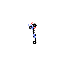 O=C1Nc2cccnc2N(C(=O)CCCCCN2CCN(CCCc3ccccc3)CC2)c2ccccc21